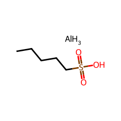 CCCCCS(=O)(=O)O.[AlH3]